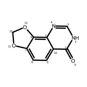 O=c1[nH]cnc2c3c(ccc12)OCO3